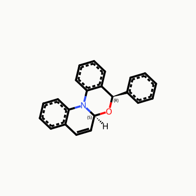 C1=C[C@@H]2O[C@H](c3ccccc3)c3ccccc3N2c2ccccc21